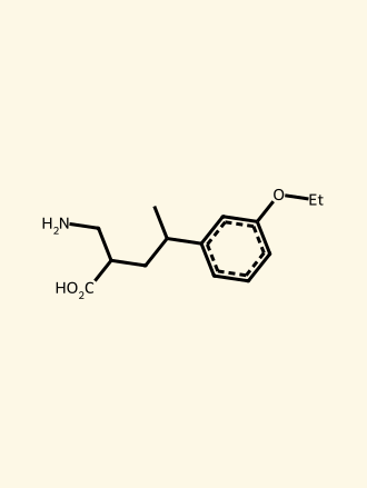 CCOc1cccc(C(C)CC(CN)C(=O)O)c1